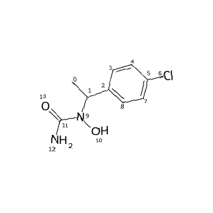 CC(c1ccc(Cl)cc1)N(O)C(N)=O